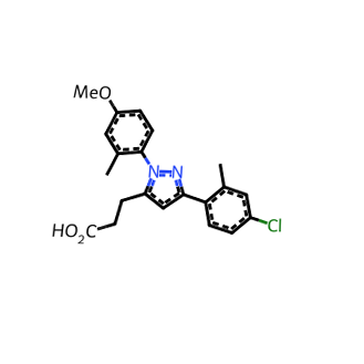 COc1ccc(-n2nc(-c3ccc(Cl)cc3C)cc2CCC(=O)O)c(C)c1